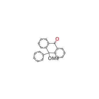 COC1(c2ccccc2)c2ccccc2C(=O)c2ccccc21